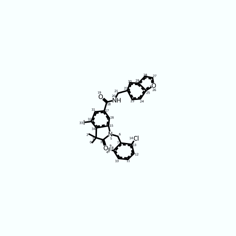 CC1(C)C(=O)N(Cc2c(F)cccc2Cl)c2cc(C(=O)NCc3ccc4occc4c3)cc(I)c21